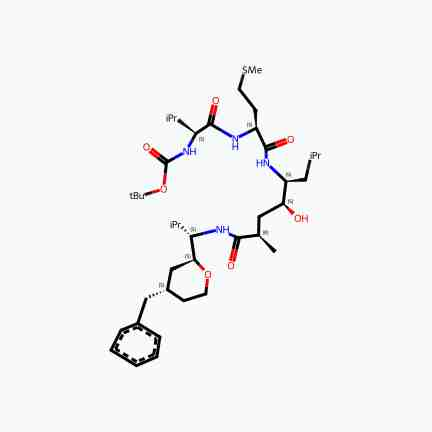 CSCC[C@H](NC(=O)[C@@H](NC(=O)OC(C)(C)C)C(C)C)C(=O)N[C@@H](CC(C)C)[C@@H](O)C[C@@H](C)C(=O)N[C@@H](C(C)C)[C@@H]1C[C@@H](Cc2ccccc2)CCO1